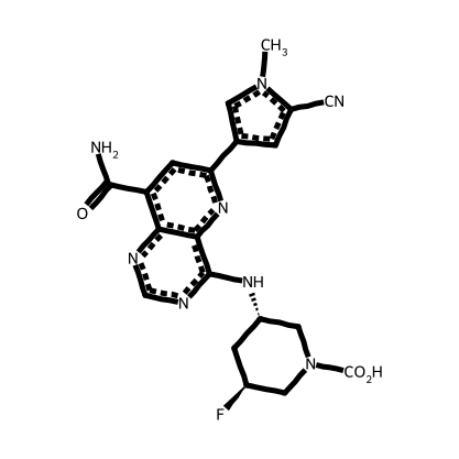 Cn1cc(-c2cc(C(N)=O)c3ncnc(N[C@H]4C[C@H](F)CN(C(=O)O)C4)c3n2)cc1C#N